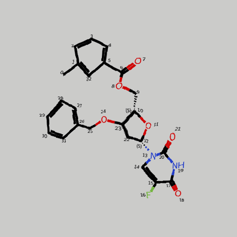 Cc1cccc(C(=O)OC[C@@H]2O[C@H](n3cc(F)c(=O)[nH]c3=O)CC2OCc2ccccc2)c1